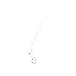 O=C(OCc1ccccc1)N1CC(OCC2CC(OCCO[C@H]3C[C@@H](O)C3)C2)C1